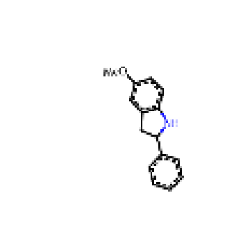 COc1ccc2c(c1)CC(c1ccccc1)N2